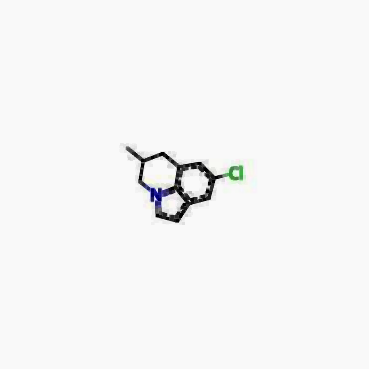 CC1Cc2cc(Cl)cc3ccn(c23)C1